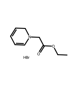 Br.CCOC(=O)CN1C=CC=CC1